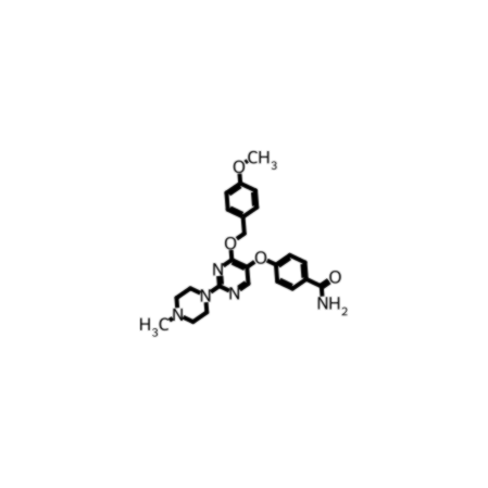 COc1ccc(COc2nc(N3CCN(C)CC3)ncc2Oc2ccc(C(N)=O)cc2)cc1